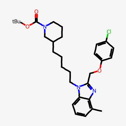 Cc1cccc2c1nc(COc1ccc(Cl)cc1)n2CCCCCC1CCCN(C(=O)OC(C)(C)C)C1